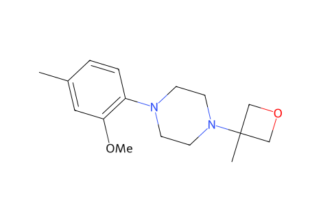 COc1cc(C)ccc1N1CCN(C2(C)COC2)CC1